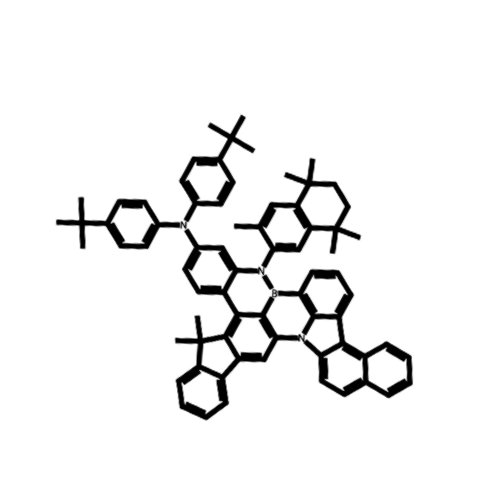 Cc1cc2c(cc1N1B3c4c(cc5c(c4-c4ccc(N(c6ccc(C(C)(C)C)cc6)c6ccc(C(C)(C)C)cc6)cc41)C(C)(C)c1ccccc1-5)-n1c4ccc5ccccc5c4c4cccc3c41)C(C)(C)CCC2(C)C